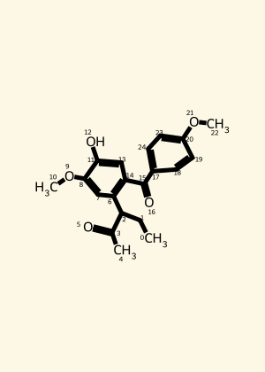 CCC(C(C)=O)c1cc(OC)c(O)cc1C(=O)c1ccc(OC)cc1